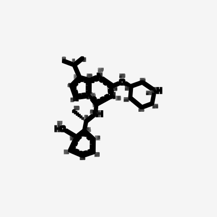 CC(C)c1cnn2c(N[C@@H](C)c3ccccc3O)nc(O[C@@H]3CCCNC3)nc12